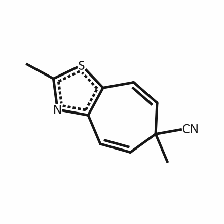 Cc1nc2c(s1)C=CC(C)(C#N)C=C2